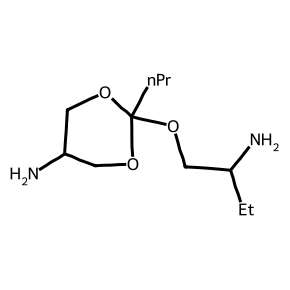 CCCC1(OCC(N)CC)OCC(N)CO1